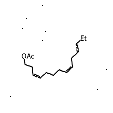 CCC=CC/C=C\CCC/C=C\CCOC(C)=O